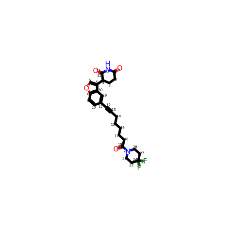 O=C1CCC(c2coc3ccc(C#CCCCCCC(=O)N4CCC(F)(F)CC4)cc23)C(=O)N1